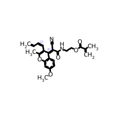 C=C/C=C\C1=C(C)Oc2cc(OC)ccc2/C1=C(/C#N)C(=O)NCCOC(=O)C(=C)C